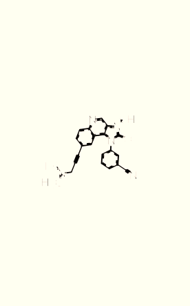 CN(C)CC#Cc1ccc2ncc3c(c2c1)n(-c1cccc(C#N)c1)c(=O)n3C